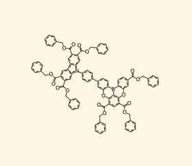 O=C(OCc1ccccc1)c1ccc2c(c1)Oc1c(C(=O)OCc3ccccc3)cc(C(=O)OCc3ccccc3)c3c1B2c1ccc(-c2ccc(-n4c5cc(C(=O)OCc6ccccc6)c(C(=O)OCc6ccccc6)cc5c5cc(C(=O)OCc6ccccc6)c(C(=O)OCc6ccccc6)cc54)cc2)cc1O3